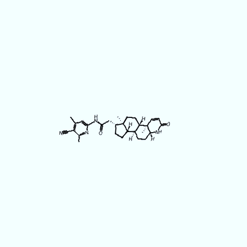 Cc1cc(NC(=O)C[C@H]2CC[C@H]3[C@@H]4CC[C@H]5NC(=O)C=C[C@]5(C)[C@H]4CC[C@]23C)nc(C)c1C#N